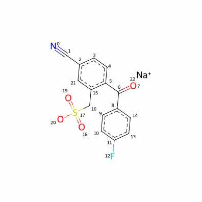 N#Cc1ccc(C(=O)c2ccc(F)cc2)c(CS(=O)(=O)[O-])c1.[Na+]